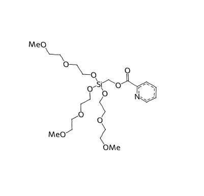 COCCOCCO[Si](COC(=O)c1ccccn1)(OCCOCCOC)OCCOCCOC